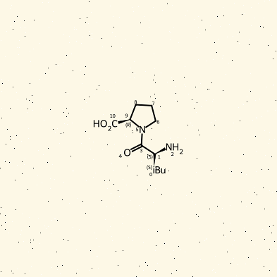 CC[C@H](C)[C@H](N)C(=O)N1CCC[C@@H]1C(=O)O